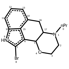 CCCN1CCOC2c3c(Br)[nH]c4cccc(c34)CC21